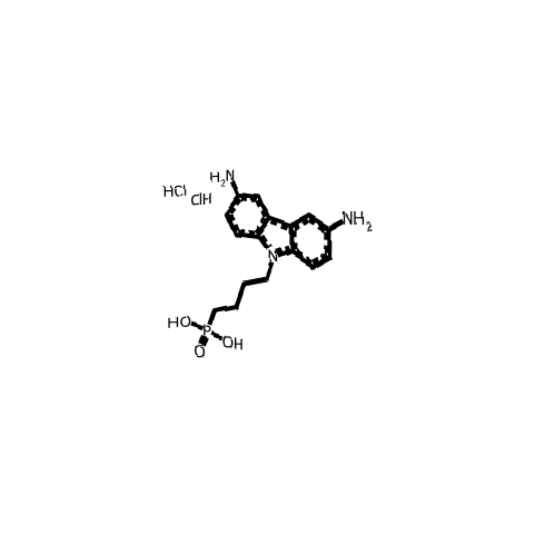 Cl.Cl.Nc1ccc2c(c1)c1cc(N)ccc1n2CCCCP(=O)(O)O